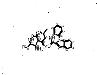 CC(C)[C@H](NC(=O)c1cc2ccccc2n1-c1ccccc1)C(=O)C(C(=O)O)C(N)C(O)CF